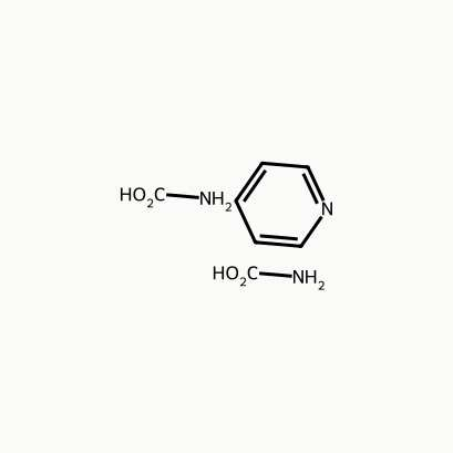 NC(=O)O.NC(=O)O.c1ccncc1